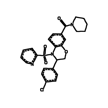 O=C(c1ccc2c(c1)OCC(c1ccc(Cl)cc1)N2S(=O)(=O)c1ccccn1)N1CCCCC1